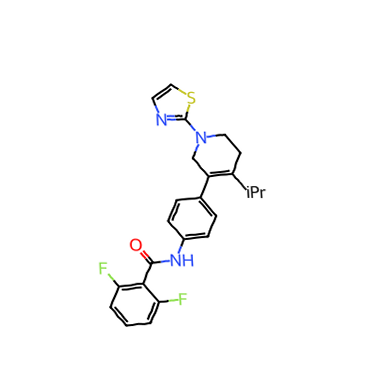 CC(C)C1=C(c2ccc(NC(=O)c3c(F)cccc3F)cc2)CN(c2nccs2)CC1